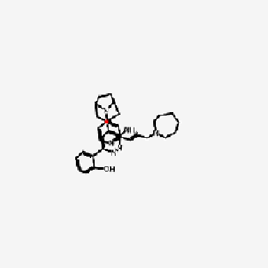 Nc1nnc(-c2ccccc2O)cc1N1CC2CCC(C1)N2c1ccnc(/C=C/CN2CCCCCC2)c1